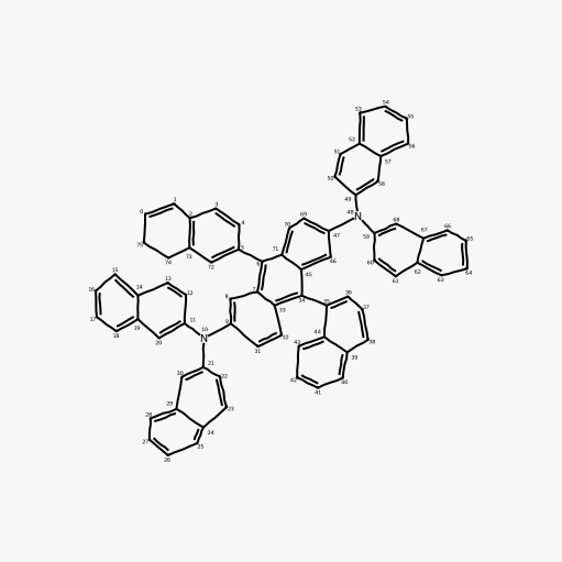 C1=Cc2ccc(-c3c4cc(N(c5ccc6ccccc6c5)c5ccc6ccccc6c5)ccc4c(-c4cccc5ccccc45)c4cc(N(c5ccc6ccccc6c5)c5ccc6ccccc6c5)ccc34)cc2CC1